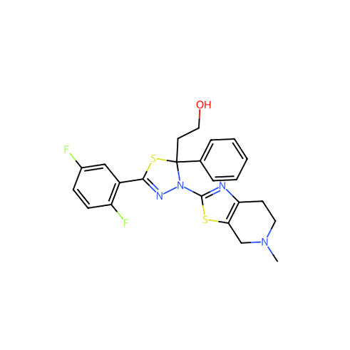 CN1CCc2nc(N3N=C(c4cc(F)ccc4F)SC3(CCO)c3ccccc3)sc2C1